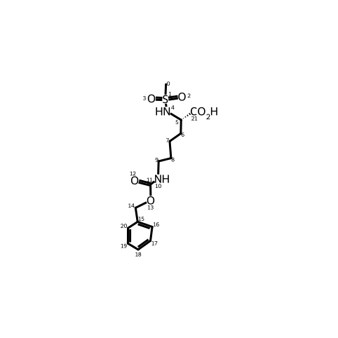 CS(=O)(=O)N[C@@H](CCCCNC(=O)OCc1ccccc1)C(=O)O